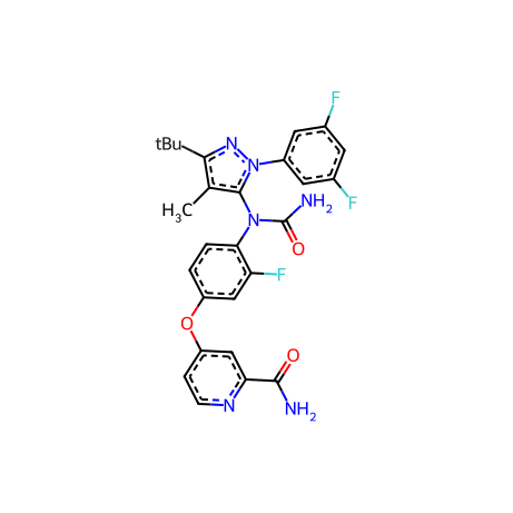 Cc1c(C(C)(C)C)nn(-c2cc(F)cc(F)c2)c1N(C(N)=O)c1ccc(Oc2ccnc(C(N)=O)c2)cc1F